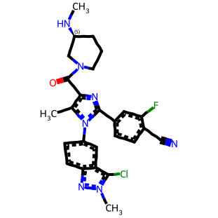 CN[C@H]1CCCN(C(=O)c2nc(-c3ccc(C#N)c(F)c3)n(-c3ccc4nn(C)c(Cl)c4c3)c2C)C1